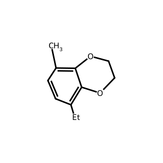 CCc1ccc(C)c2c1OCCO2